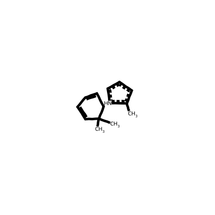 CC1(C)C=CC=CC1.Cc1ccc[nH]1